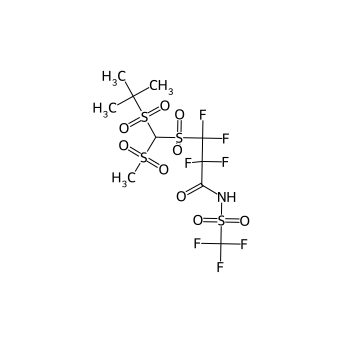 CC(C)(C)S(=O)(=O)C(S(C)(=O)=O)S(=O)(=O)C(F)(F)C(F)(F)C(=O)NS(=O)(=O)C(F)(F)F